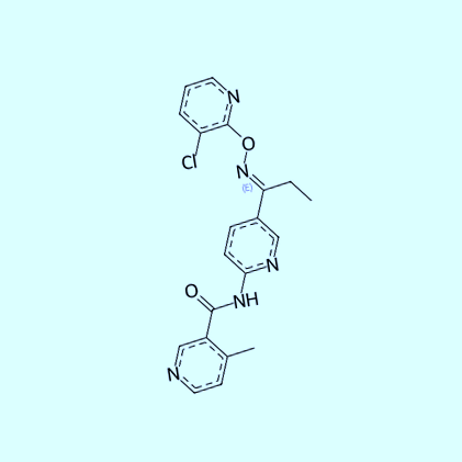 CC/C(=N\Oc1ncccc1Cl)c1ccc(NC(=O)c2cnccc2C)nc1